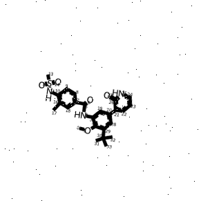 COc1c(NC(=O)c2ccc(NS(C)(=O)=O)c(C)c2)cc(-c2ccc[nH]c2=O)cc1C(C)(C)C